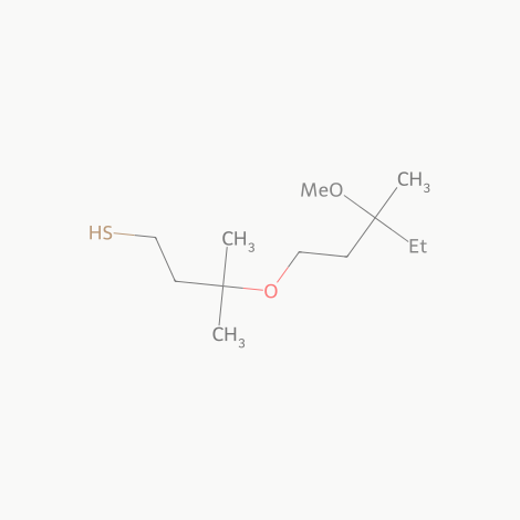 CCC(C)(CCOC(C)(C)CCS)OC